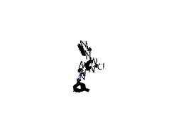 Cc1cccc(/C=N/n2cnc3c(-n4ccnc4)nc(Cl)nc32)c1